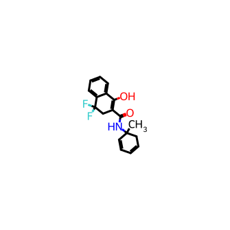 CC1(NC(=O)C2=C(O)c3ccccc3C(F)(F)C2)C=CC=CC1